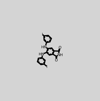 O=C1NC(=O)c2cc(Nc3cccc(I)c3)c(Nc3cccc(I)c3)cc21